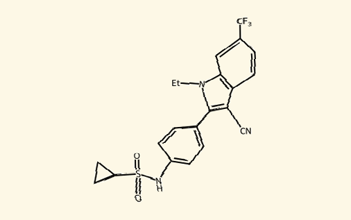 CCn1c(-c2ccc(NS(=O)(=O)C3CC3)cc2)c(C#N)c2ccc(C(F)(F)F)cc21